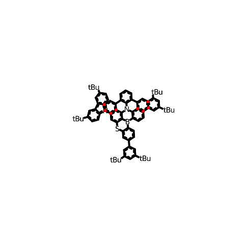 CC(C)(C)c1cc(-c2ccc3c(c2)Sc2cc(-n4c5ccc(C(C)(C)C)cc5c5cc(C(C)(C)C)ccc54)cc4c2B3c2ccc(-c3cc(C(C)(C)C)cc(C(C)(C)C)c3)cc2N4c2c(-c3ccccc3)cccc2-c2ccccc2)cc(C(C)(C)C)c1